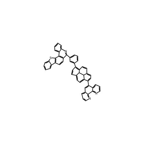 C1=CC2=C(c3cccc(-c4nc5ccccc5c5c4ccc4c6ccccc6sc45)c3)C=CC3=CC=C4C(c5cc6cccnc6c6ncccc56)=CC=C1C4C32